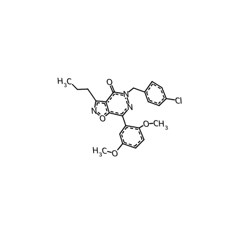 CCCc1noc2c(-c3cc(OC)ccc3OC)nn(Cc3ccc(Cl)cc3)c(=O)c12